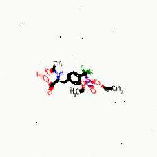 CCOP(=O)(OCC)C(F)(F)c1ccc(C[C@H](NC(C)=O)C(=O)O)cc1